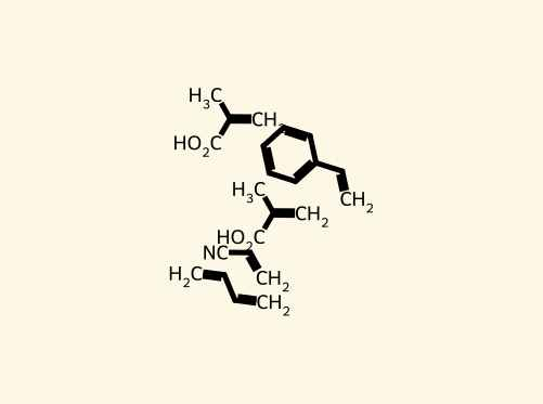 C=C(C)C(=O)O.C=C(C)C(=O)O.C=CC#N.C=CC=C.C=Cc1ccccc1